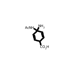 CC(=O)NC1(N)C=CC(C(=O)O)C=C1